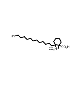 CC(C)CCCCCCCCCCCCC1(C(=O)O)CCCCC1(C)C(=O)O